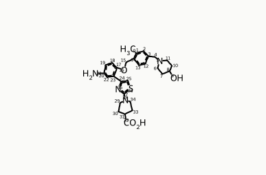 Cc1cc(CN2CCC(O)CC2)ccc1COc1ccc(N)cc1-c1csc(N2CCC(C(=O)O)CC2)n1